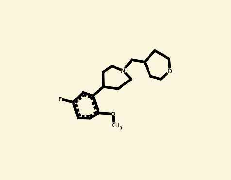 COc1ccc(F)cc1C1CCN(CC2CCOCC2)CC1